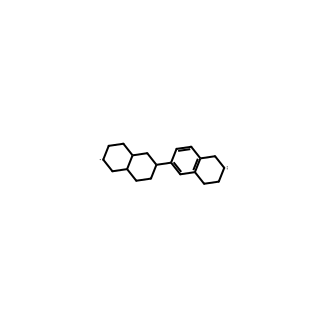 [C]1CCc2cc(C3CCC4C[CH]CCC4C3)ccc2C1